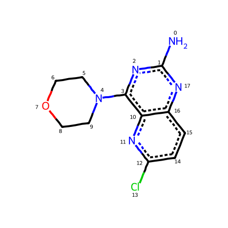 Nc1nc(N2CCOCC2)c2nc(Cl)ccc2n1